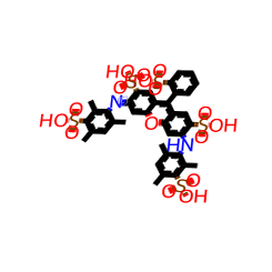 Cc1cc(C)c(S(=O)(=O)O)c(C)c1/N=c1\cc2oc3cc(Nc4c(C)cc(C)c(S(=O)(=O)O)c4C)c(S(=O)(=O)O)cc3c(-c3ccccc3S(=O)(=O)O)c-2cc1S(=O)(=O)O